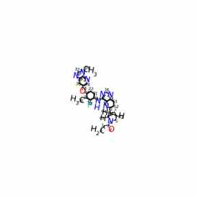 C=CC(=O)N1C[C@H]2CC[C@@H]1[C@@H](c1ccc3ncnc(Nc4ccc(Oc5cnc6c(c5)ncn6C)c(C)c4F)c3n1)C2